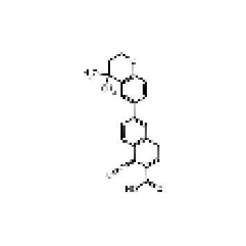 CC1(C)CCOc2ccc(-c3ccc4c(c3)CC=C(C(=O)O)C4=C=O)cc21